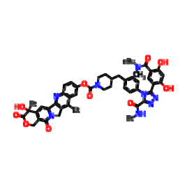 CCCCN(C)C(=O)c1cc(-c2nnc(C(=O)NCC)n2-c2ccc(CC3CCN(C(=O)Oc4ccc5nc6c(c(CC)c5c4)Cn4c-6cc5c(c4=O)COC(=O)C5(O)CC)CC3)cc2)c(O)cc1O